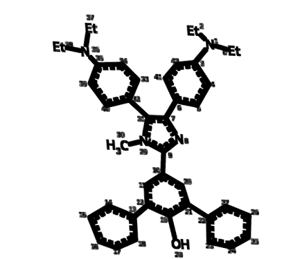 CCN(CC)c1ccc(-c2nc(-c3cc(-c4ccccc4)c(O)c(-c4ccccc4)c3)n(C)c2-c2ccc(N(CC)CC)cc2)cc1